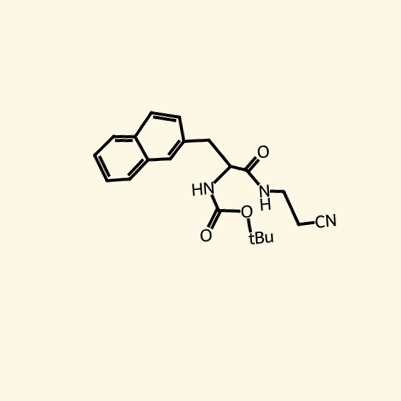 CC(C)(C)OC(=O)NC(Cc1ccc2ccccc2c1)C(=O)NCCC#N